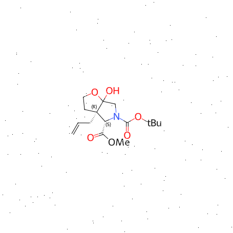 C=CC[C@]12CCOC1(O)CN(C(=O)OC(C)(C)C)[C@@H]2C(=O)OC